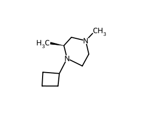 C[C@H]1CN(C)CCN1C1CCC1